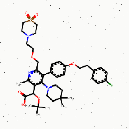 Cc1nc(COCCN2CCS(=O)(=O)CC2)c(-c2ccc(OCCc3ccc(F)cc3)cc2)c(N2CCC(C)(C)CC2)c1C(OC(C)(C)C)C(=O)O